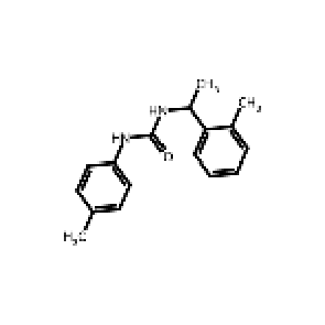 Cc1ccc(NC(=O)NC(C)c2ccccc2C)cc1